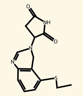 CCSc1cccc2c1CN(C1CC(=O)NC1=O)C=N2